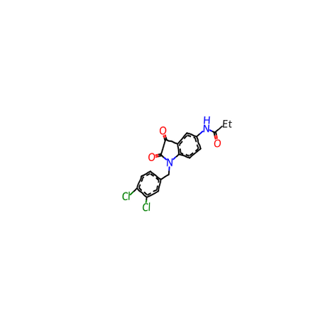 CCC(=O)Nc1ccc2c(c1)C(=O)C(=O)N2Cc1ccc(Cl)c(Cl)c1